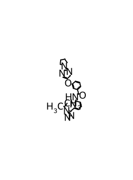 CC(C)n1cnnc1-c1cccc(NC(=O)c2cccc(Oc3cnc(N4CCCC4)nc3)c2)n1